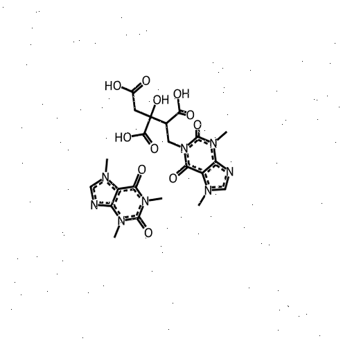 Cn1c(=O)c2c(ncn2C)n(C)c1=O.Cn1cnc2c1c(=O)n(CC(C(=O)O)C(O)(CC(=O)O)C(=O)O)c(=O)n2C